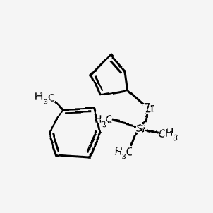 C[Si](C)(C)[Zr][CH]1C=CC=C1.Cc1ccccc1